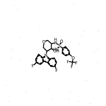 N=S(=O)(NC1COCC(n2c3ccc(F)cc3c3cc(F)ccc32)C1O)c1ccc(OC(F)(F)F)cc1